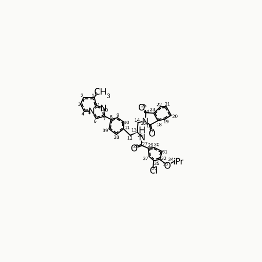 Cc1cccn2cc(-c3ccc(C[C@@H](CN4C(=O)c5ccccc5C4=O)NC(=O)c4ccc(OC(C)C)c(Cl)c4)cc3)nc12